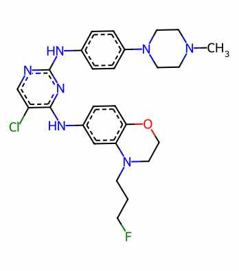 CN1CCN(c2ccc(Nc3ncc(Cl)c(Nc4ccc5c(c4)N(CCCF)CCO5)n3)cc2)CC1